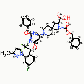 Cc1ccn(-c2cc(Cl)ccc2[C@@H](Oc2cc(N3CCC4(CC3)CC(C(=O)O)N(C(=O)OCc3ccccc3)C4)nc(Oc3ccccc3)n2)C(F)(F)F)n1